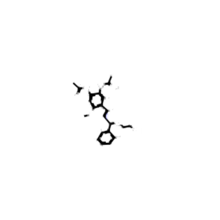 COc1cc(OC(C)=O)c(OC(C)=O)cc1/C=C/C(SCCO)c1ccccc1